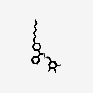 CCCCCCCC1CCC(C(=NN=Cc2cc(F)c(F)c(F)c2)c2ccccc2)CC1